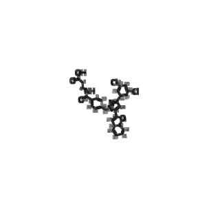 O=C(O)CCNC(=O)c1ccc(Cn2nc(-c3cc(Cl)cc(Cl)c3)cc2C2=CC3C=CC=CC3O2)cc1